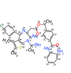 CC(=N)N1C(=N)C(CC(=O)OC(C)c2ccc(C(=O)Nc3ccccc3N)cc2)N=C(c2ccc(Cl)cc2)c2c1sc(C)c2C